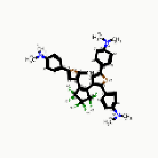 Cc1sc(-c2ccc(N(C)C)cc2)cc1C1=C(c2cc(-c3ccc(N(C)C)cc3)sc2-c2ccc(N(C)C)cc2)C(F)(F)C(F)(F)C1(F)F